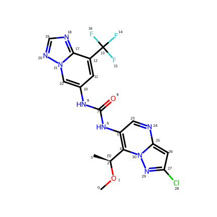 CO[C@@H](C)c1c(NC(=O)Nc2cc(C(F)(F)F)c3ncnn3c2)cnc2cc(Cl)nn12